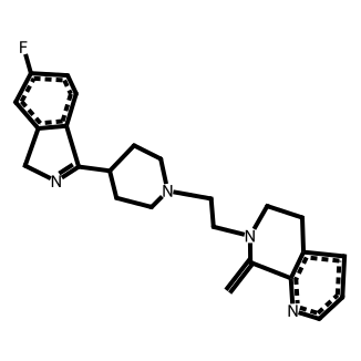 C=C1c2ncccc2CCN1CCN1CCC(C2=NCc3cc(F)ccc32)CC1